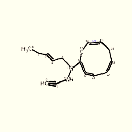 C#CNN(CC=CCC)C1=C=CC=CC/C=C\C1